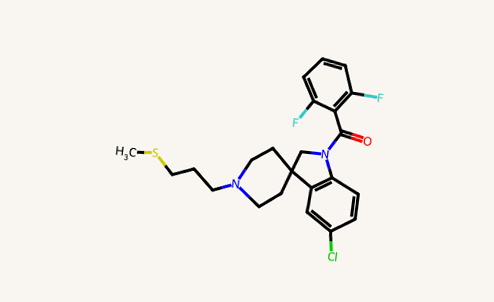 CSCCCN1CCC2(CC1)CN(C(=O)c1c(F)cccc1F)c1ccc(Cl)cc12